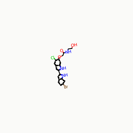 O=C(COc1cc2[nH]c(-c3cc4ccc(Br)cc4[nH]3)cc2cc1Cl)NCCO